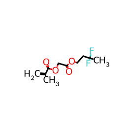 C=C(C)C(=O)OCC(=O)OCCC(C)(F)F